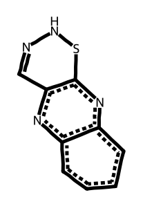 C1=NNSc2nc3ccccc3nc21